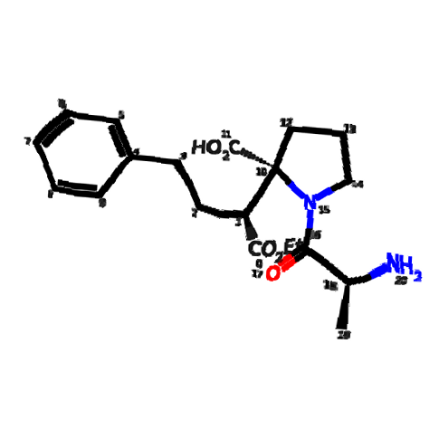 CCOC(=O)[C@@H](CCc1ccccc1)[C@@]1(C(=O)O)CCCN1C(=O)[C@H](C)N